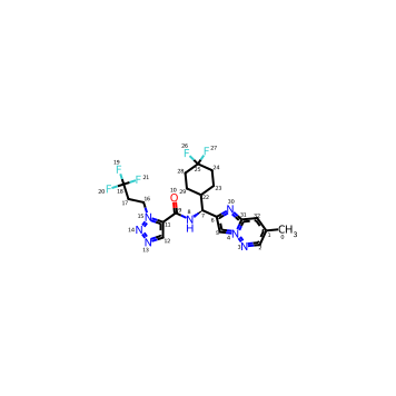 Cc1cnn2cc([C@@H](NC(=O)c3cnnn3CCC(F)(F)F)C3CCC(F)(F)CC3)nc2c1